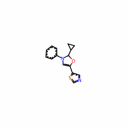 [C]1=C(c2cncs2)OC(C2CC2)N1c1ccccc1